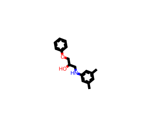 Cc1cc(C)cc(NCC(O)COc2ccccc2)c1